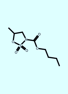 CCCCOC(=O)N1CC(C)OS1(=O)=O